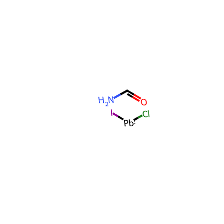 NC=O.[Cl][Pb][I]